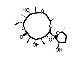 CC[C@H]1OC(=O)[C@H](C)[C@@H](O)[C@H](C)[C@@H](O[C@@H]2O[C@H](C)CC[C@H]2O)[C@](C)(O)C[C@@H](C)CN(C)[C@H](C)[C@@H](O)[C@H]1C